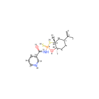 C=C(C)C1CC[C@@]2(C)OP(=S)(NC(=O)c3cccnc3)S[C@@H]2C1